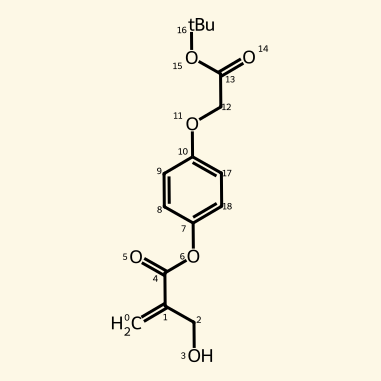 C=C(CO)C(=O)Oc1ccc(OCC(=O)OC(C)(C)C)cc1